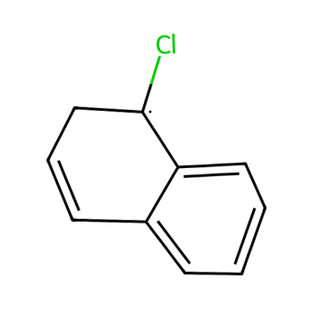 Cl[C]1CC=Cc2ccccc21